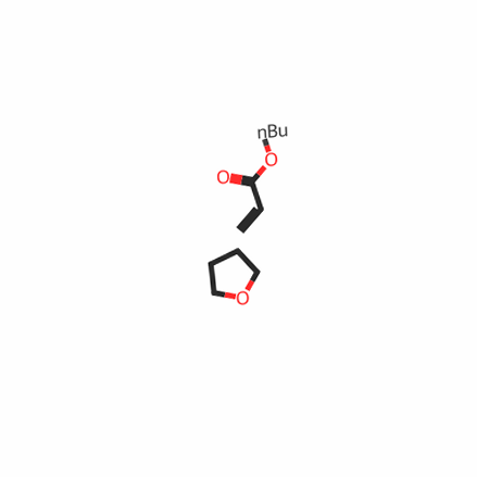 C1CCOC1.C=CC(=O)OCCCC